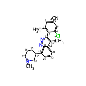 Cc1cc(C#N)cc(Cl)c1-c1nnc2c([C@@H]3CCCN(C)C3)cccc2c1C